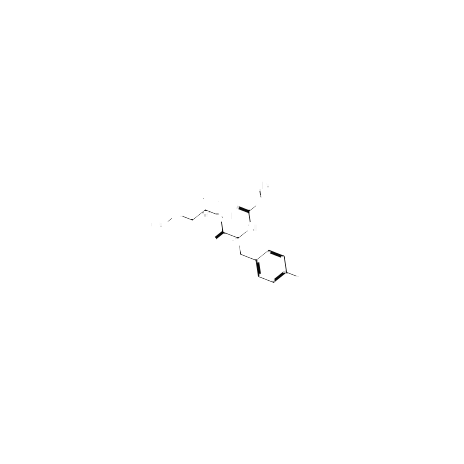 CC(C)(C)OC[C@@H](NC(=O)[C@H](Cc1ccc(O)cc1)NC(=O)OC(C)(C)C)C(=O)O